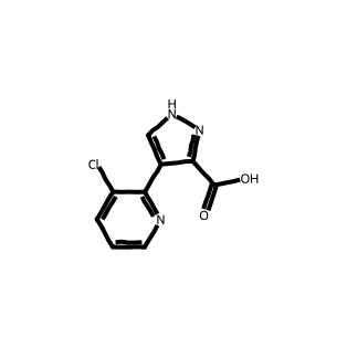 O=C(O)c1n[nH]cc1-c1ncccc1Cl